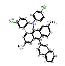 Cc1ccc2c(N(c3ccc(Br)cc3)c3ccc(Br)cc3)c3cc(C)ccc3c(-c3ccc4ccccc4c3)c2c1